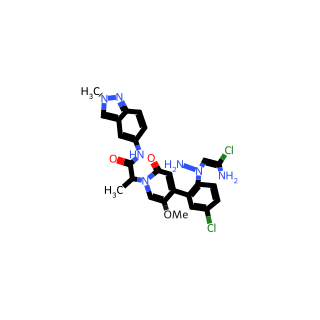 COc1cn(C(C)C(=O)Nc2ccc3nn(C)cc3c2)c(=O)cc1-c1cc(Cl)ccc1N(N)/C=C(\N)Cl